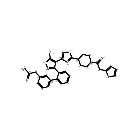 Cc1onc(-c2ccccc2-c2cccc(CC(N)=O)c2)c1-c1csc(C2CCN(C(=O)Cc3cccs3)CC2)n1